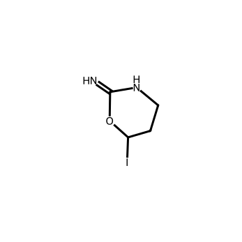 N=C1NCCC(I)O1